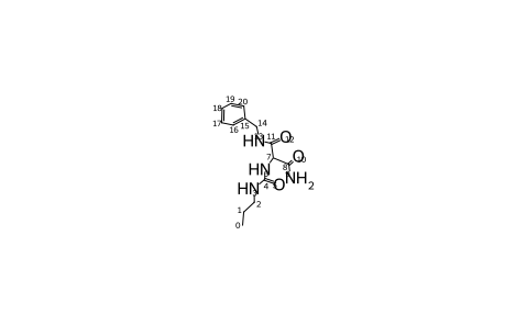 CCCNC(=O)NC(C(N)=O)C(=O)NCc1ccccc1